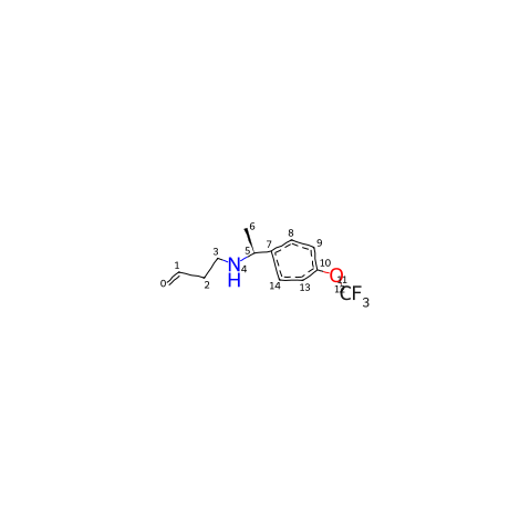 C=CCCN[C@@H](C)c1ccc(OC(F)(F)F)cc1